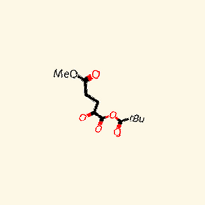 COC(=O)CCC(=O)C(=O)OC(=O)C(C)(C)C